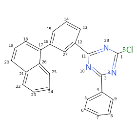 Clc1nc(-c2ccccc2)nc(-c2cccc(-c3cccc4ccccc34)c2)n1